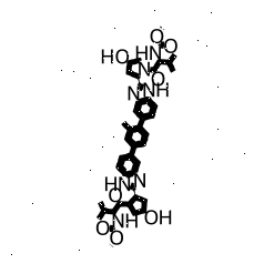 COC(=O)N[C@H](C(=O)C1C[C@@H](O)C[C@H]1c1nc2cc(-c3ccc(-c4ccc5[nH]c([C@@H]6C[C@H](O)CN6C(=O)[C@@H](NC(=O)OC)C(C)C)nc5c4)c(C)c3)ccc2[nH]1)C(C)C